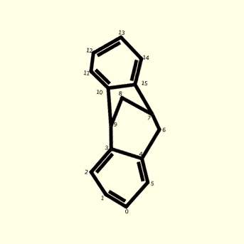 c1ccc2c(c1)CC1CC2c2ccccc21